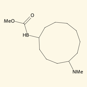 CNC1CCCCCCC(BC(=O)OC)CCC1